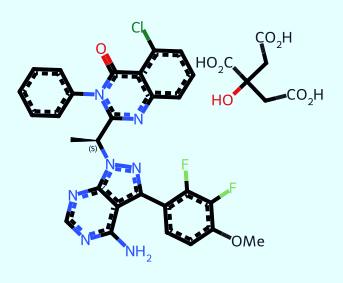 COc1ccc(-c2nn([C@@H](C)c3nc4cccc(Cl)c4c(=O)n3-c3ccccc3)c3ncnc(N)c23)c(F)c1F.O=C(O)CC(O)(CC(=O)O)C(=O)O